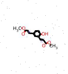 COC(=O)/C=C/c1ccc(O)c(/C=C/C(=O)OC)c1